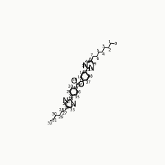 CCCCCCCCc1cnc(-c2ccc(OC(=O)c3ccc(-c4ncc(CCCCCC)cn4)cc3)cc2)nc1